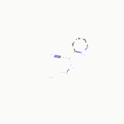 CCSC(C)=NC(C#N)c1ccccn1